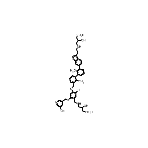 Cc1c(COc2cc(OCc3cncc(C#N)c3)c(CNCC(O)CC(=O)O)cc2Cl)cccc1-c1cccc(-c2ccc3c(CCNCC(O)CC(=O)O)coc3c2)c1C